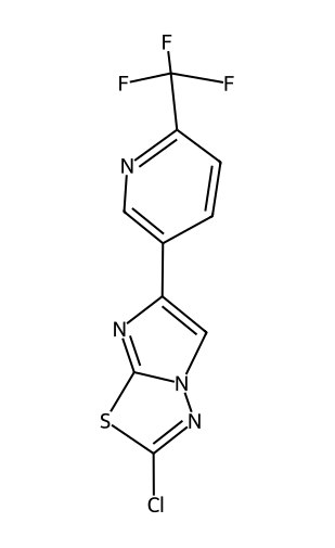 FC(F)(F)c1ccc(-c2cn3nc(Cl)sc3n2)cn1